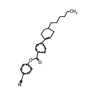 CCCCCCC1CC=C(c2ccc(C(=O)Oc3ccc(C#N)cc3)cc2)CC1